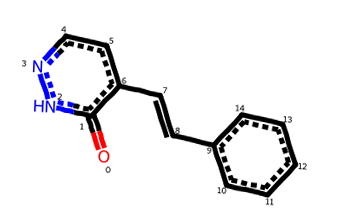 O=c1[nH]nccc1C=Cc1ccccc1